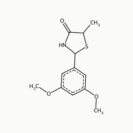 COc1cc(OC)cc(C2NC(=O)C(C)S2)c1